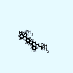 C=C(O)CCCCc1nc2cc(C3CC(=C)NC4=C3C=CCC4)ccc2nc1-c1ccccc1